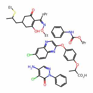 CC(C)OC(=O)Nc1ccccc1.CC(Oc1ccc(Oc2cnc3cc(Cl)ccc3n2)cc1)C(=O)O.CCC/C(=N/OCC)C1=C(O)CC(CC(C)SCC)CC1=O.Nc1cnn(-c2ccccc2)c(=O)c1Cl